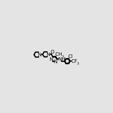 Cc1c(NCc2ccc(C(F)(F)F)c(Cl)c2)ncnc1C(=O)N1CCC(N2CCCCC2)CC1